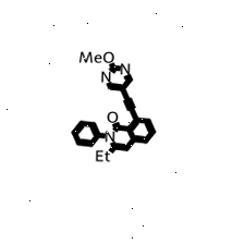 CCc1cc2cccc(C#Cc3cnc(OC)nc3)c2c(=O)n1-c1ccccc1